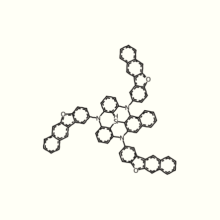 c1cc2c3c(c1)N(c1ccc4oc5cc6ccccc6cc5c4c1)c1cc4ccccc4c4c1[SiH]3c1c(cccc1N4c1ccc3oc4cc5ccccc5cc4c3c1)N2c1ccc2oc3cc4ccccc4cc3c2c1